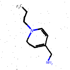 NCC1=CCN(CCC(F)(F)F)C=C1